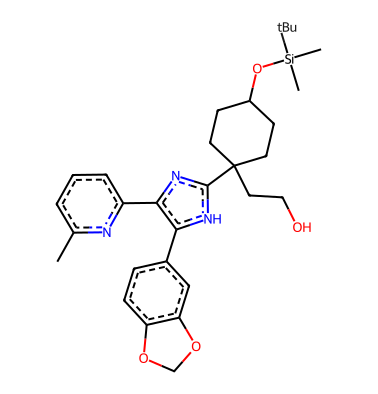 Cc1cccc(-c2nc(C3(CCO)CCC(O[Si](C)(C)C(C)(C)C)CC3)[nH]c2-c2ccc3c(c2)OCO3)n1